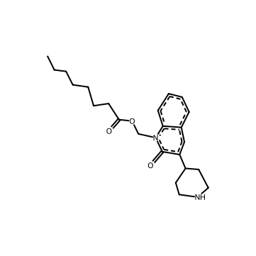 CCCCCCCC(=O)OCn1c(=O)c(C2CCNCC2)cc2ccccc21